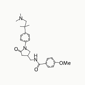 COc1ccc(C(=O)NCC2CC(=O)N(c3ccc(C(C)(C)CN(C)C)cc3)C2)cc1